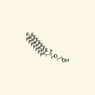 OCCOCC(I)CC(F)(F)C(F)(F)C(F)(F)C(F)(F)C(F)(F)C(F)(F)C(F)(F)F